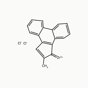 CC1=Cc2c(c3ccccc3c3ccccc23)[C]1=[Zr+2].[Cl-].[Cl-]